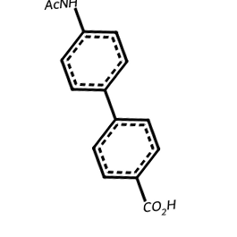 CC(=O)Nc1ccc(-c2ccc(C(=O)O)cc2)cc1